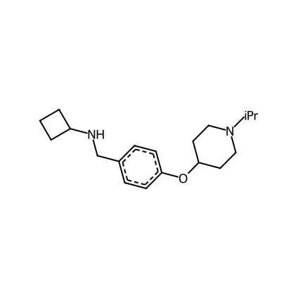 CC(C)N1CCC(Oc2ccc(CNC3CCC3)cc2)CC1